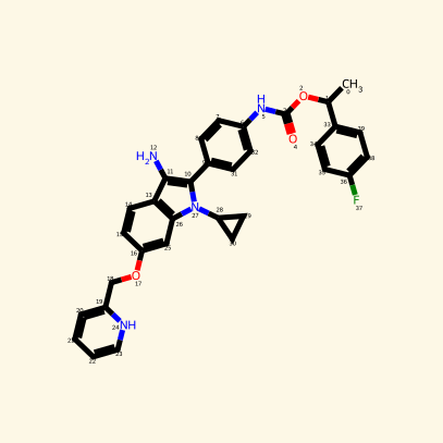 CC(OC(=O)Nc1ccc(-c2c(N)c3ccc(OCC4=C=CC=CN4)cc3n2C2CC2)cc1)c1ccc(F)cc1